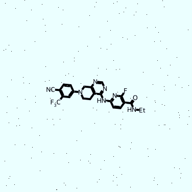 CCNC(=O)c1ccc(Nc2ncnc3c2CCN(c2ccc(C#N)c(C(F)(F)F)c2)C3)nc1F